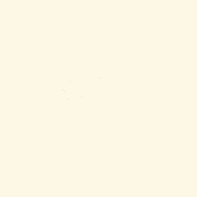 O=c1[nH]nc2n1-c1ccccc1C(c1ccccc1)=NC2